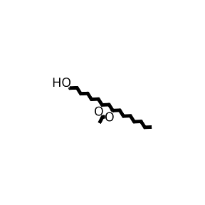 CCCCCCCC(CCCCCCCCO)OC(C)=O